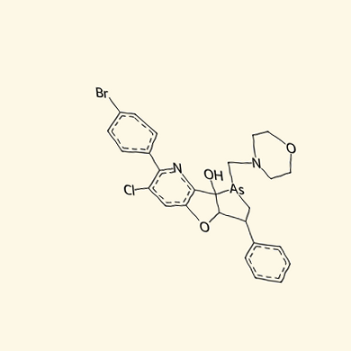 OC12c3nc(-c4ccc(Br)cc4)c(Cl)cc3OC1C(c1ccccc1)C[As]2CN1CCOCC1